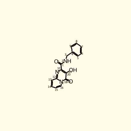 O=C(NCc1ccccc1)c1nc2ccccn2c(=O)c1O